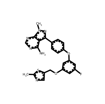 Cc1ncc(COc2cc(F)cc(Oc3ccc(-c4nn(C)c5ncnc(N)c45)cc3)c2)s1